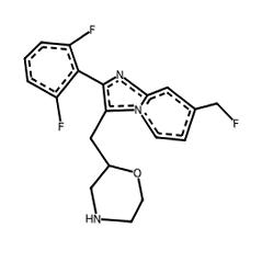 FCc1ccn2c(CC3CNCCO3)c(-c3c(F)cccc3F)nc2c1